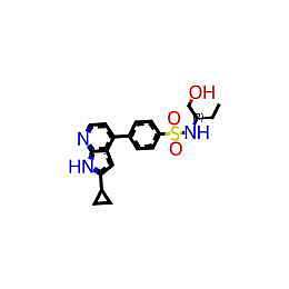 CC[C@H](CO)NS(=O)(=O)c1ccc(-c2ccnc3[nH]c(C4CC4)cc23)cc1